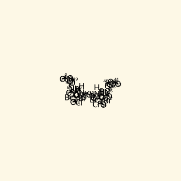 CC(=O)OCC(CNC(=O)c1c(Br)c(NC(=O)COCC(=O)Nc2c(Br)c(C(=O)Cl)c(Br)c(C(=O)NCC(COC(C)=O)OC(C)=O)c2Br)c(Br)c(C(=O)Cl)c1Br)OC(C)=O